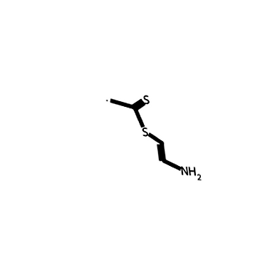 [CH2]C(=S)SC=CN